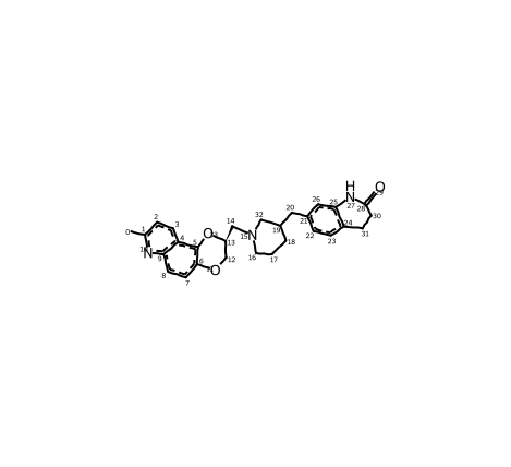 Cc1ccc2c3c(ccc2n1)OC[C@H](CN1CCCC(Cc2ccc4c(c2)NC(=O)CC4)C1)O3